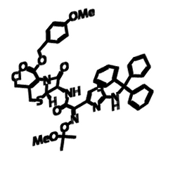 COc1ccc(COC(=O)C2=C(CCl)CS[C@H]3[C@H](NC(=O)/C(=N\OC(C)(C)OC)c4csc(NC(c5ccccc5)(c5ccccc5)c5ccccc5)n4)C(=O)N23)cc1